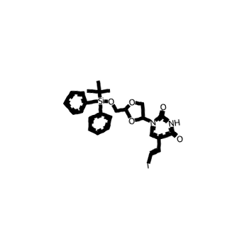 CC(C)(C)[Si](OCC1OCC(n2cc(C=CI)c(=O)[nH]c2=O)O1)(c1ccccc1)c1ccccc1